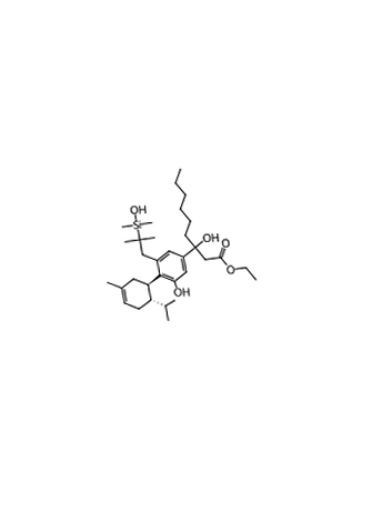 CCCCCCC(O)(CC(=O)OCC)c1cc(O)c([C@@H]2CC(C)=CC[C@H]2C(C)C)c(CC(C)(C)[Si](C)(C)O)c1